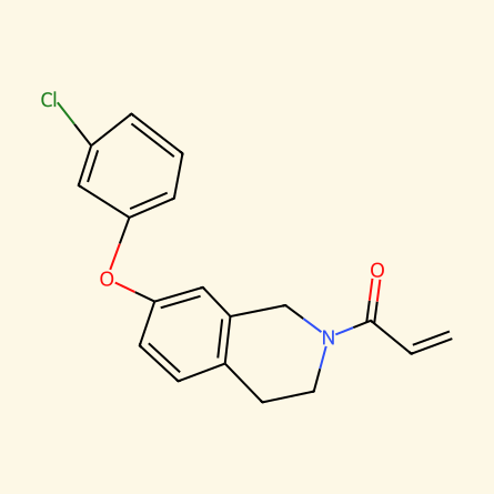 C=CC(=O)N1CCc2ccc(Oc3cccc(Cl)c3)cc2C1